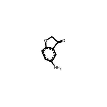 Nc1ccc2c(c1)C(=O)CO2